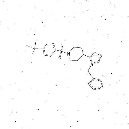 CC(C)(C)c1ccc(S(=O)(=O)N2CCC(c3cncn3Cc3ccccc3)CC2)cc1